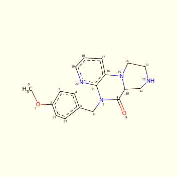 COc1ccc(CN2C(=O)C3CNCCN3c3cccnc32)cc1